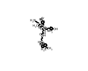 CC(=O)[C@H](CCCCN)NC(=O)[C@H](Cc1ccc([N+](=O)[O-])cc1)NC(=O)[C@H](CCC(=O)NCCCCNS(=O)(=O)c1cccc2c(N(C)C)cccc12)NC(=O)[C@@H](N)Cc1ccc(O)cc1